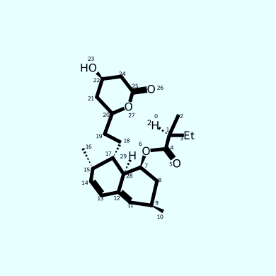 [2H][C@](C)(CC)C(=O)O[C@H]1C[C@@H](C)C=C2C=C[C@H](C)[C@H](CCC3C[C@@H](O)CC(=O)O3)[C@H]21